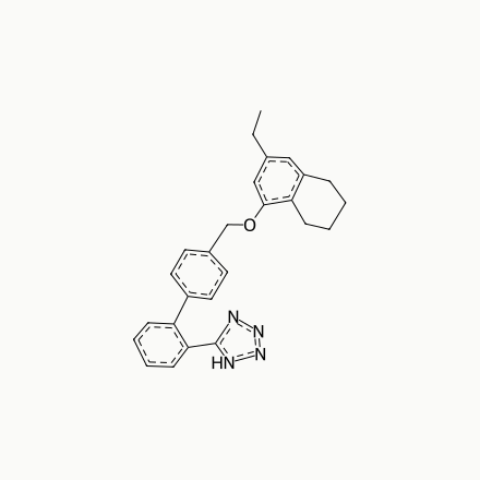 CCc1cc2c(c(OCc3ccc(-c4ccccc4-c4nnn[nH]4)cc3)c1)CCCC2